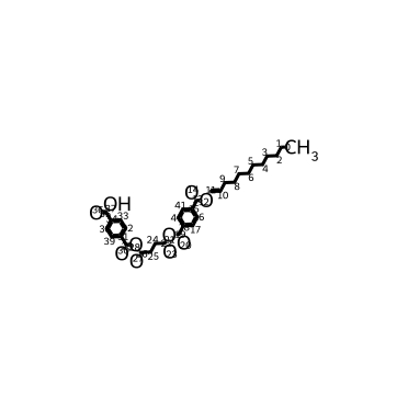 CCCCCCCCCCC=COC(=O)c1ccc(C(=O)OC(=O)CCC(=O)OC(=O)c2ccc(C(=O)O)cc2)cc1